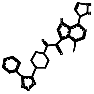 O=C(C(=O)N1CCN(c2nnnn2-c2ccccc2)CC1)c1c[nH]c2c(N3C=CNN3)ncc(F)c12